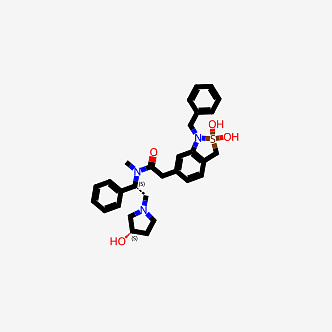 CN(C(=O)Cc1ccc2c(c1)N(Cc1ccccc1)S(O)(O)C2)[C@H](CN1CC[C@H](O)C1)c1ccccc1